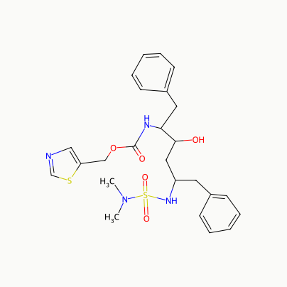 CN(C)S(=O)(=O)NC(Cc1ccccc1)CC(O)C(Cc1ccccc1)NC(=O)OCc1cncs1